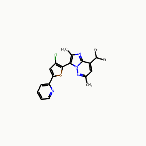 CCC(CC)c1cc(C)nn2c(-c3sc(-c4ccccn4)cc3Cl)c(C)nc12